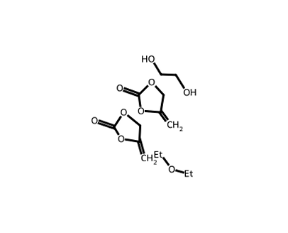 C=C1COC(=O)O1.C=C1COC(=O)O1.CCOCC.OCCO